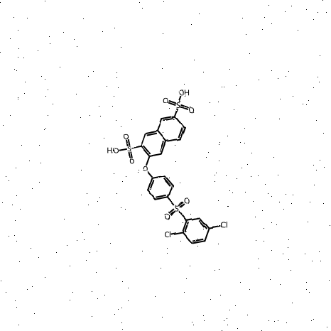 O=S(=O)(O)c1ccc2cc(Oc3ccc(S(=O)(=O)c4cc(Cl)ccc4Cl)cc3)c(S(=O)(=O)O)cc2c1